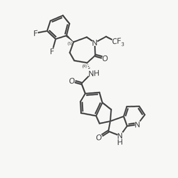 O=C(N[C@@H]1CC[C@@H](c2cccc(F)c2F)CN(CC(F)(F)F)C1=O)c1ccc2c(c1)CC1(C2)C(=O)Nc2ncccc21